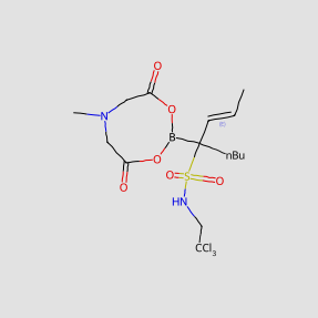 C/C=C/C(CCCC)(B1OC(=O)CN(C)CC(=O)O1)S(=O)(=O)NCC(Cl)(Cl)Cl